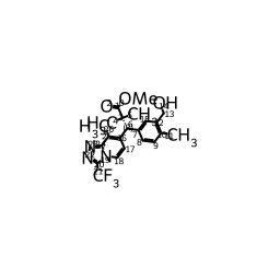 COC(=O)C(C)(C)[C@H](c1ccc(C)c(CO)c1)c1ccn2c(C(F)(F)F)nnc2c1C